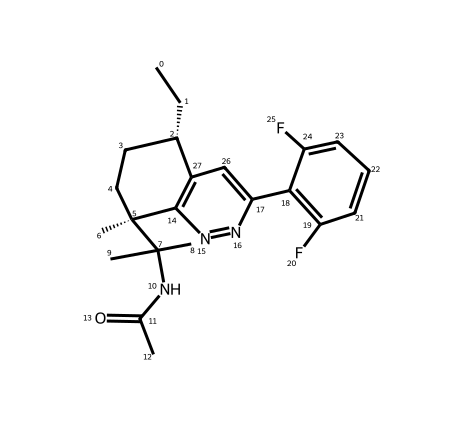 CC[C@H]1CC[C@](C)(C(C)(C)NC(C)=O)c2nnc(-c3c(F)cccc3F)cc21